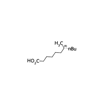 CCCC[C@@H](C)CCCCCC(=O)O